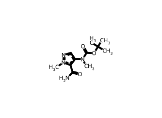 CN(C(=O)OC(C)(C)C)c1cnn(C)c1C(N)=O